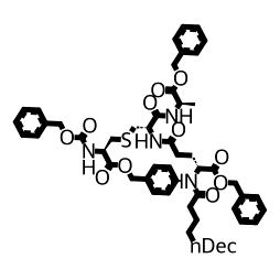 CCCCCCCCCCCCCC(=O)N[C@H](CCC(=O)N[C@H](CSC[C@H](NC(=O)OCc1ccccc1)C(=O)OCc1ccccc1)C(=O)N[C@H](C)C(=O)OCc1ccccc1)C(=O)OCc1ccccc1